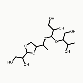 CC(O)C(CO)OC(OC(C)C1COC(C(O)CO)O1)C(O)CO